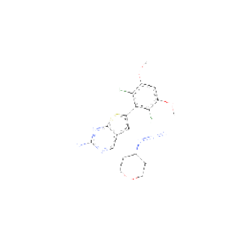 COc1cc(OC)c(Cl)c(-c2cc3c([C@H]4COCC[C@@H]4N=[N+]=[N-])nc(N)nc3s2)c1Cl